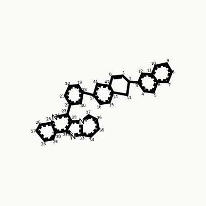 C1=CC(c2ccc3ccccc3c2)Cc2ccc(-c3cccc(-c4nc5ccccc5c5nc6ccccn6c45)c3)cc21